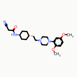 COc1ccc(OC)c(N2CCN(CC[C@H]3CC[C@H](NC(=O)CC#N)CC3)CC2)c1